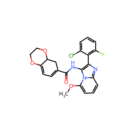 COc1cccc2nc(-c3c(F)cccc3Cl)c(NC(=O)C3=CC=C4OCCOC4C3)n12